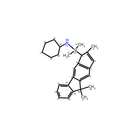 CC1=Cc2cc3c(cc2C1[Si](C)(C)NC1CCCCC1)-c1ccccc1C3(C)C